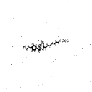 CCCCCCCCCCCCCCCCCC(=O)NS(=O)(=O)c1ccc(N)cc1.[Ni]